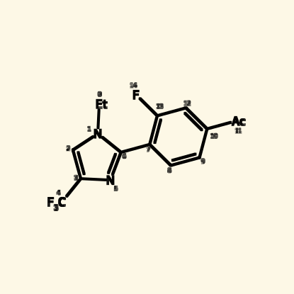 CCn1cc(C(F)(F)F)nc1-c1ccc(C(C)=O)cc1F